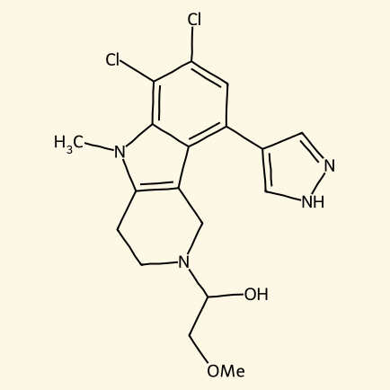 COCC(O)N1CCc2c(c3c(-c4cn[nH]c4)cc(Cl)c(Cl)c3n2C)C1